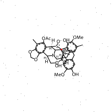 COc1cc2c(cc1O)CCN[C@]21C[S+]([O-])[C@@H]2c3c(OC(C)=O)c(C)c4c(c3[C@H](COC1=O)N1C2C2c3c(cc(C)c(OC)c3O)C[C@@H]([C@@H]1O)N2C)OCO4